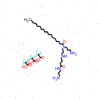 CCCCCCCCC=CCCCCCCCC(=O)N(CCCN)CCCNCCCC(=O)NCCCN.O=C(O)C(F)(F)F.O=C(O)C(F)(F)F.O=C(O)C(F)(F)F